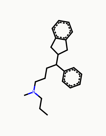 CCCN(C)CCCC(c1ccccc1)C1Cc2ccccc2C1